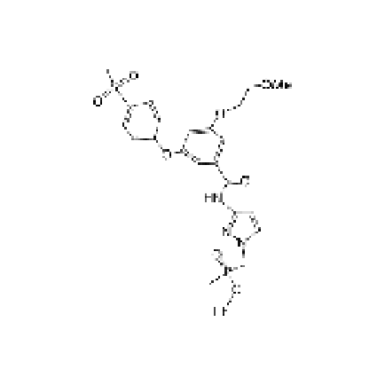 CCOP(C)(=O)Cn1ccc(NC(=O)c2cc(OCCOC)cc(Oc3ccc(S(C)(=O)=O)cc3)c2)n1